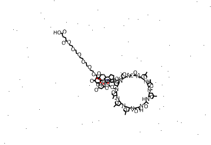 C/C=C/C[C@](C)(C(OC(=O)OC(CC=O)OC(=O)CCC(=O)OCCOCCOCCOCCOCCOC(=O)CCC(=O)O)C1C(=O)NC(CC)C(=O)N(C)CC(=O)N(C)[C@@H](CC(C)C)C(=O)NC(C(C)C)C(=O)N(C)C(CC(C)C)C(=O)NC(C)C(=O)NC(C)C(=O)N(C)C(CC(C)C)C(=O)N(C)C(CC(C)C)C(=O)N(C)C(C(C)C)C(=O)N1C)[C@@]1(O)CCC2C3CCC4=CC(=O)C=C[C@]4(C)C3[C@@H](O)C[C@@]21C